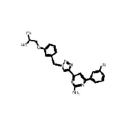 N#Cc1cccc(-c2cc(-c3cn(Cc4cccc(OCC(O)O)c4)nn3)nc(N)n2)c1